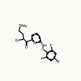 CCC(CCNC)C(=O)c1cccc(NOc2c(F)cc(F)cc2F)n1